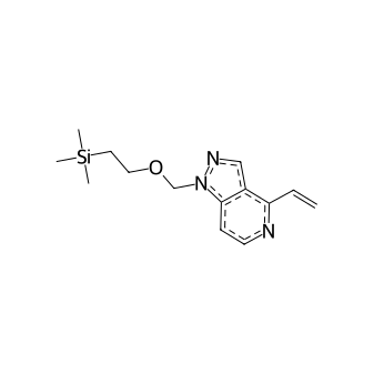 C=Cc1nccc2c1cnn2COCC[Si](C)(C)C